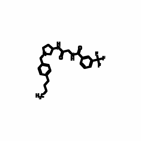 CCCCc1ccc(CN2CCC(NC(=O)CNC(=O)c3cccc(C(F)(F)F)c3)C2)cc1